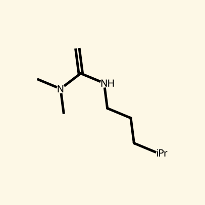 C=C(NCCCC(C)C)N(C)C